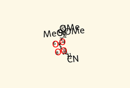 CO[Si](CCOC(=O)C(=O)OCCC#N)(OC)OC